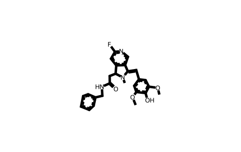 COc1cc(C=C2c3cnc(F)cc3C(CC(=O)NCc3ccccc3)N2C)cc(OC)c1O